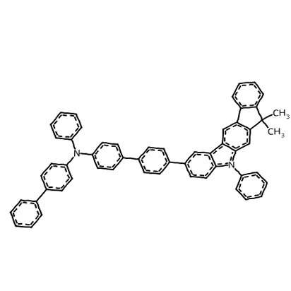 CC1(C)c2ccccc2-c2cc3c4cc(-c5ccc(-c6ccc(N(c7ccccc7)c7ccc(-c8ccccc8)cc7)cc6)cc5)ccc4n(-c4ccccc4)c3cc21